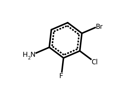 Nc1ccc(Br)c(Cl)c1F